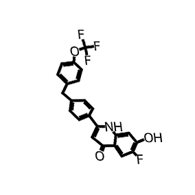 O=c1cc(-c2ccc(Cc3ccc(OC(F)(F)F)cc3)cc2)[nH]c2cc(O)c(F)cc12